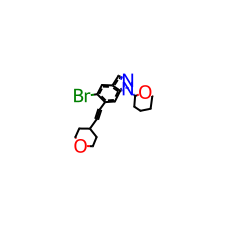 Brc1cc2cnn(C3CCCCO3)c2cc1C#CC1CCOCC1